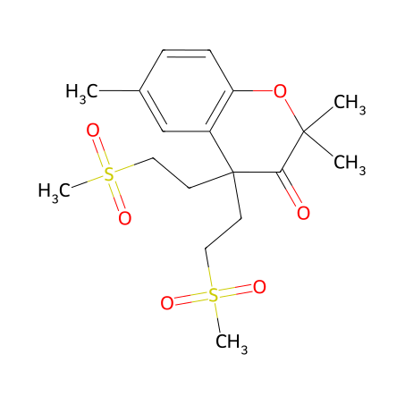 Cc1ccc2c(c1)C(CCS(C)(=O)=O)(CCS(C)(=O)=O)C(=O)C(C)(C)O2